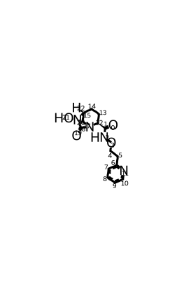 O=C(NOCCc1ccccn1)[C@@H]1CC[C@@H]2CN1C(=O)N2O